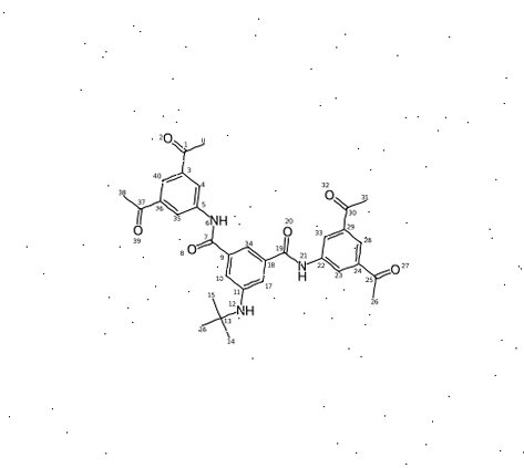 CC(=O)c1cc(NC(=O)c2cc(NC(C)(C)C)cc(C(=O)Nc3cc(C(C)=O)cc(C(C)=O)c3)c2)cc(C(C)=O)c1